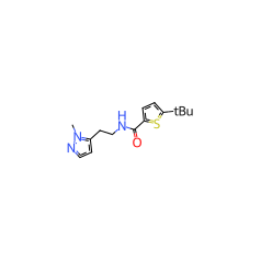 Cn1nccc1CCNC(=O)c1ccc(C(C)(C)C)s1